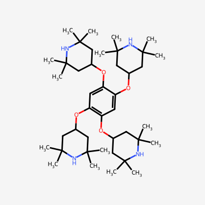 CC1(C)CC(Oc2cc(OC3CC(C)(C)NC(C)(C)C3)c(OC3CC(C)(C)NC(C)(C)C3)cc2OC2CC(C)(C)NC(C)(C)C2)CC(C)(C)N1